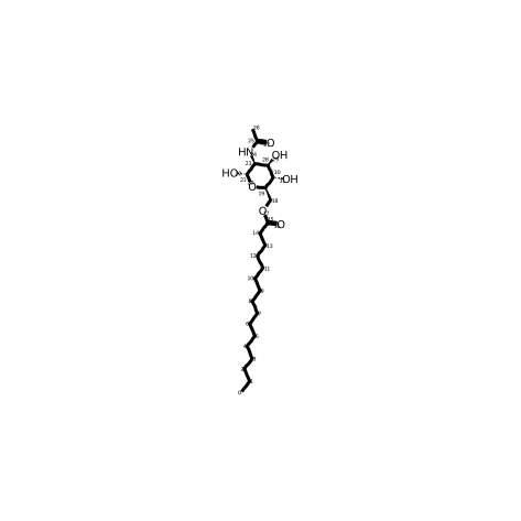 CCCCCCCCCCCCCCCC(=O)OC[C@H]1O[C@H](O)[C@@H](NC(C)=O)[C@@H](O)[C@@H]1O